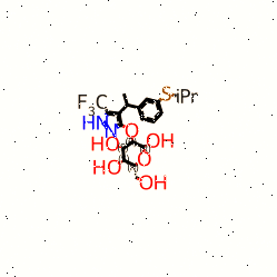 CC(C)Sc1cccc(C(C)c2c(O[C@@H]3[C@@H](O)[C@H](O)[C@@H](CO)O[C@H]3O)n[nH]c2C(F)(F)F)c1